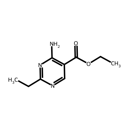 CCOC(=O)c1cnc(CC)nc1N